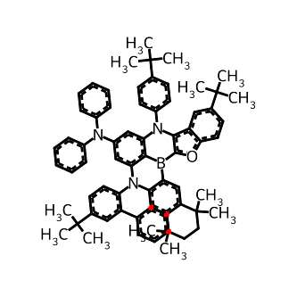 CC(C)(C)c1ccc(N2c3cc(N(c4ccccc4)c4ccccc4)cc4c3B(c3cc5c(cc3N4c3ccc(C(C)(C)C)cc3-c3ccccc3)C(C)(C)CCC5(C)C)c3oc4ccc(C(C)(C)C)cc4c32)cc1